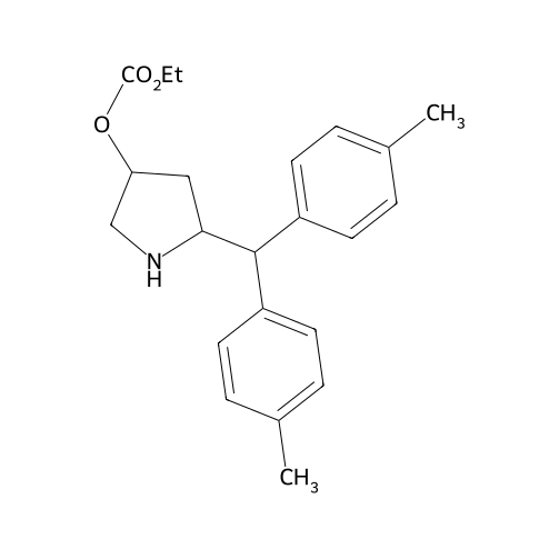 CCOC(=O)OC1CNC(C(c2ccc(C)cc2)c2ccc(C)cc2)C1